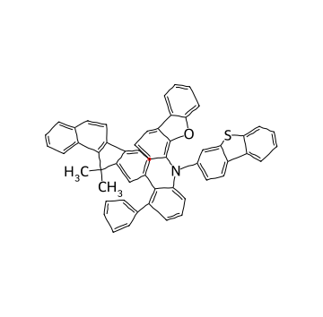 CC1(C)c2cc(-c3c(-c4ccccc4)cccc3N(c3ccc4c(c3)sc3ccccc34)c3cccc4c3oc3ccccc34)ccc2-c2ccc3ccccc3c21